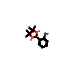 CCCc1ccccc1B1OC(C)(C)C(C)(C)O1